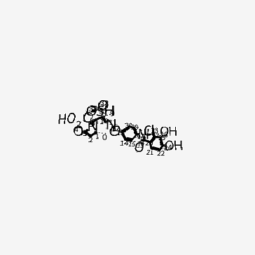 C[C@@H]1CC(=O)N1[C@@H](C(=O)O)[C@](C)(/C=N/Oc1ccc(NC(=O)c2ccc(O)c(O)c2Cl)cc1)[SH](=O)=O